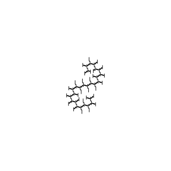 II(I)I(I)I(I)I(I)I(I)I(I)I(I)I(I)I(I)I(I)I(I)I(I)I(I)I(I)I(I)I(I)I(I)I(I)I(I)I(I)I(I)I(I)I(I)I(I)I(I)I(I)I